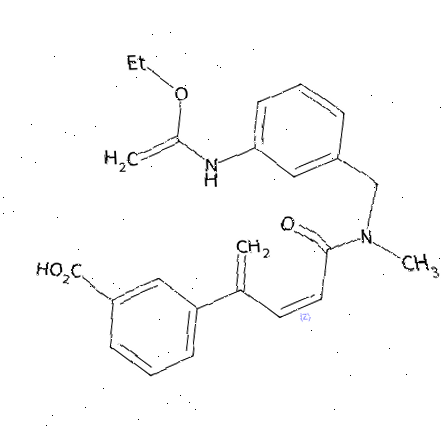 C=C(Nc1cccc(CN(C)C(=O)/C=C\C(=C)c2cccc(C(=O)O)c2)c1)OCC